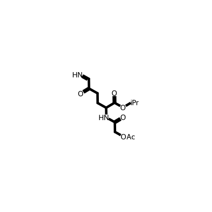 CC(=O)OCC(=O)NC(CCC(=O)C=N)C(=O)OC(C)C